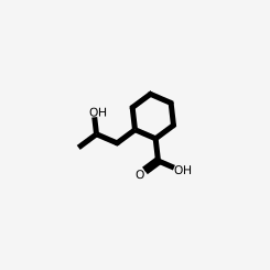 CC(O)CC1C[CH]CCC1C(=O)O